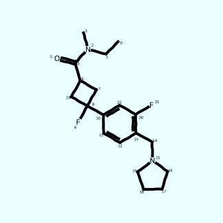 CCN(C)C(=O)C1CC(F)(c2ccc(CN3CCCC3)c(F)c2)C1